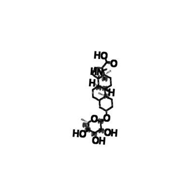 CNC12CCC(C(=O)O)[C@@]1(C)CC[C@H]1[C@H]2CCC2CC(O[C@@H]3O[C@@H](C)[C@H](O)[C@@H](O)[C@H]3O)CC[C@@]21C